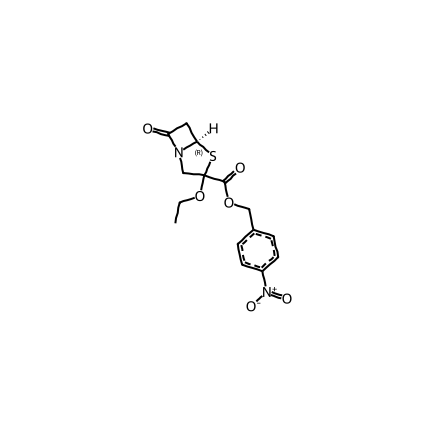 CCOC1(C(=O)OCc2ccc([N+](=O)[O-])cc2)CN2C(=O)C[C@H]2S1